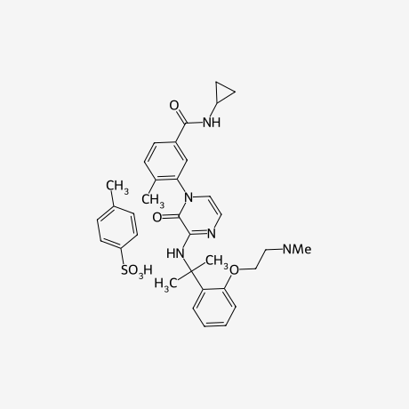 CNCCOc1ccccc1C(C)(C)Nc1nccn(-c2cc(C(=O)NC3CC3)ccc2C)c1=O.Cc1ccc(S(=O)(=O)O)cc1